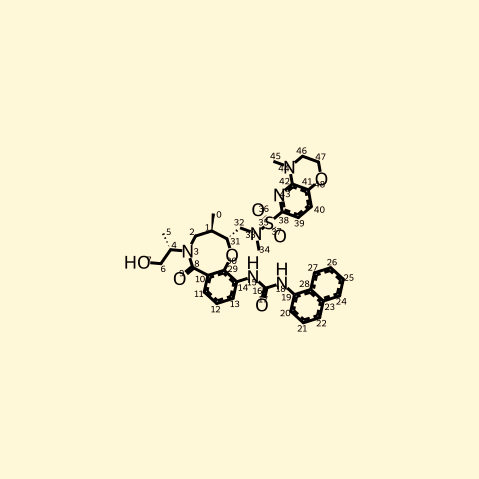 C[C@@H]1CN([C@@H](C)CO)C(=O)c2cccc(NC(=O)Nc3cccc4ccccc34)c2O[C@H]1CN(C)S(=O)(=O)c1ccc2c(n1)N(C)CCO2